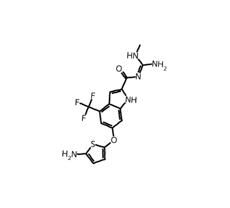 CNC(N)=NC(=O)c1cc2c(C(F)(F)F)cc(Oc3ccc(N)s3)cc2[nH]1